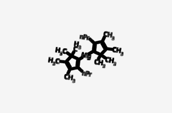 CCCC1=[C]([Mg][C]2=C(CCC)C(C)=C(C)C2(C)C)C(C)(C)C(C)=C1C